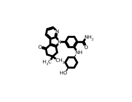 CC1(C)CC(=O)c2c(n(C3=CC(N[C@H]4CC[C@H](O)CC4)=C(C(N)=O)CC3)c3ncccc23)C1